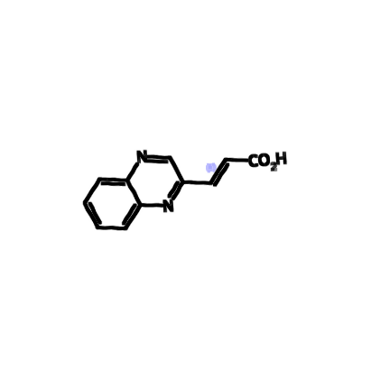 O=C(O)/C=C/c1cnc2ccccc2n1